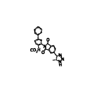 CC1NN=NC1c1ccc2c(c1)C(=O)N(c1cc(-c3ccccc3)ccc1C(=O)O)C2=O